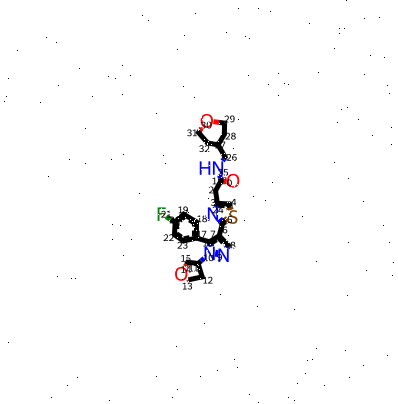 O=C(Cc1csc(-c2cnn(C3CCOC3)c2-c2ccc(F)cc2)n1)NCC1CCOCC1